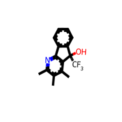 Cc1nc2c(c(C)c1C)C(O)(C(F)(F)F)c1ccccc1-2